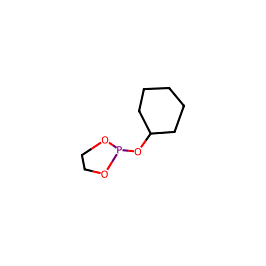 C1CCC(OP2OCCO2)CC1